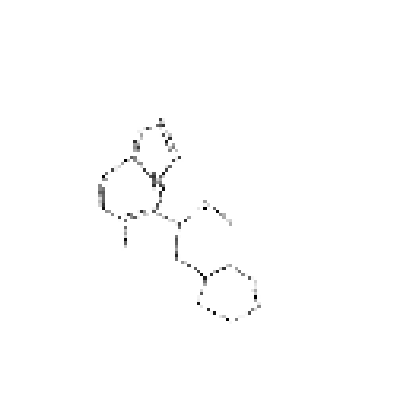 CSC(CC1CCCCC1)c1c(C)ccc2cncn12